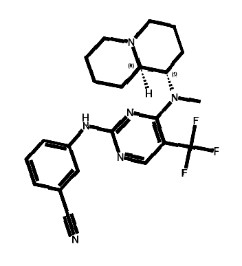 CN(c1nc(Nc2cccc(C#N)c2)ncc1C(F)(F)F)[C@H]1CCCN2CCCC[C@H]12